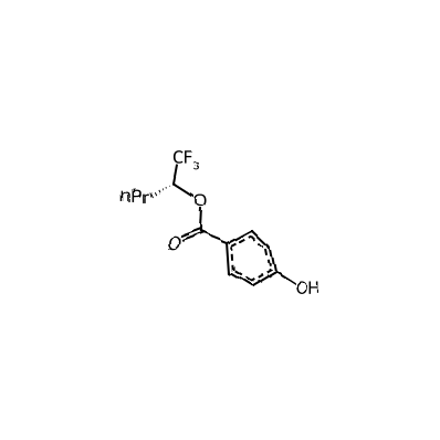 CCC[C@@H](OC(=O)c1ccc(O)cc1)C(F)(F)F